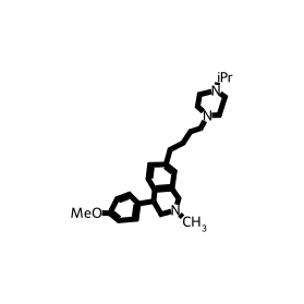 COc1ccc(C2CN(C)Cc3cc(CCCCN4CCN(C(C)C)CC4)ccc32)cc1